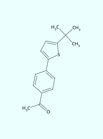 CC(=O)c1ccc(-c2ccc(C(C)(C)C)s2)cc1